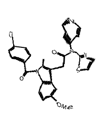 COc1ccc2c(c1)c(CC(=O)N(c1ccncc1)c1nccs1)c(C)n2C(=O)c1ccc(Cl)cc1